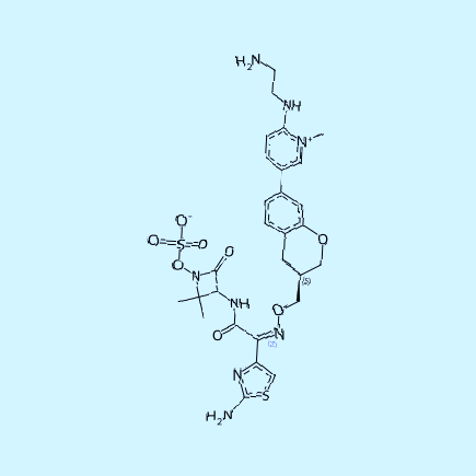 C[n+]1cc(-c2ccc3c(c2)OC[C@@H](CO/N=C(\C(=O)NC2C(=O)N(OS(=O)(=O)[O-])C2(C)C)c2csc(N)n2)C3)ccc1NCCN